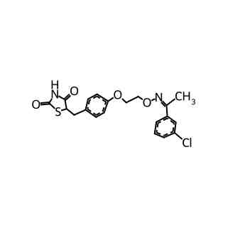 CC(=NOCCOc1ccc(CC2SC(=O)NC2=O)cc1)c1cccc(Cl)c1